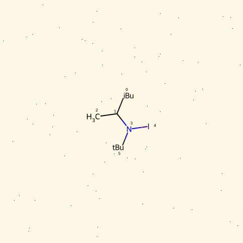 CCC(C)C(C)N(I)C(C)(C)C